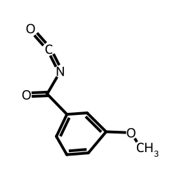 COc1cccc(C(=O)N=C=O)c1